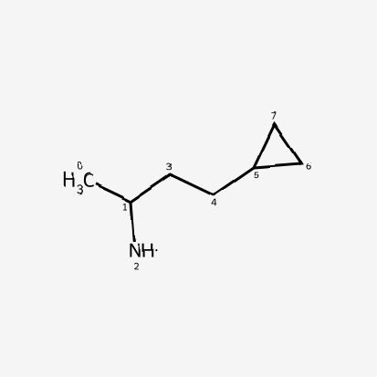 CC([NH])CCC1CC1